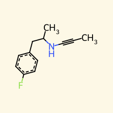 CC#CNC(C)Cc1ccc(F)cc1